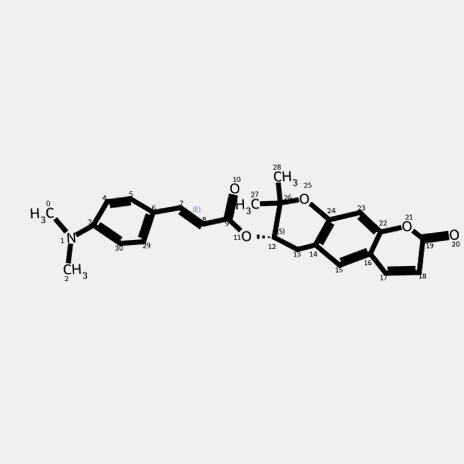 CN(C)c1ccc(/C=C/C(=O)O[C@H]2Cc3cc4ccc(=O)oc4cc3OC2(C)C)cc1